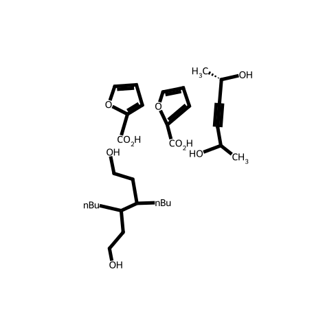 CC(O)C#C[C@H](C)O.CCCCC(CCO)C(CCO)CCCC.O=C(O)c1ccco1.O=C(O)c1ccco1